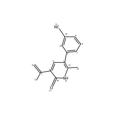 C=C(C)c1cc(-c2cccc(C#N)c2)c(C)[nH]c1=O